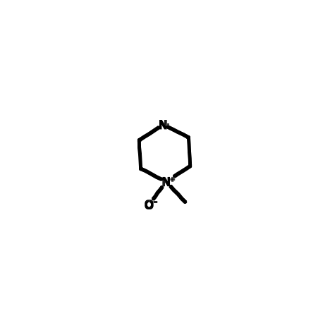 C[N+]1([O-])CC[N]CC1